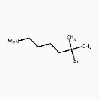 CNCCCCC(C)(C)C(C)=O